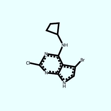 Clc1nc(NC2CCC2)c2c(Br)c[nH]c2n1